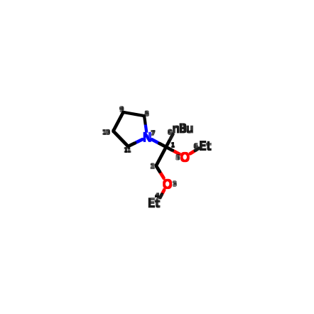 CCCCC(COCC)(OCC)N1CCCC1